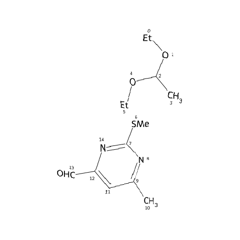 CCOC(C)OCC.CSc1nc(C)cc(C=O)n1